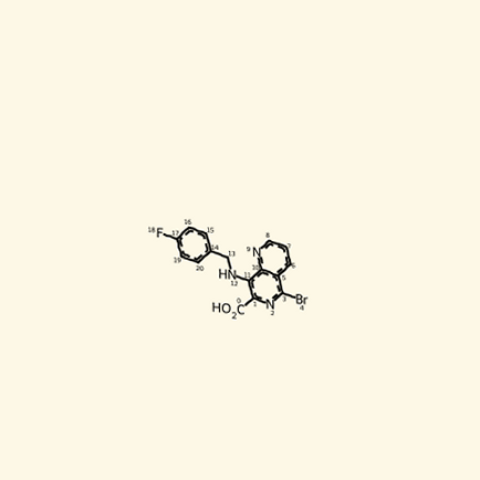 O=C(O)c1nc(Br)c2cccnc2c1NCc1ccc(F)cc1